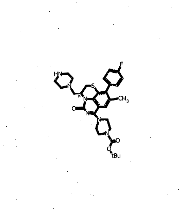 Cc1cc2c(N3CCN(C(=O)OC(C)(C)C)CC3)nc(=O)n3c2c(c1-c1ccc(F)cc1)SC[C@@H]3CN1CCNCC1